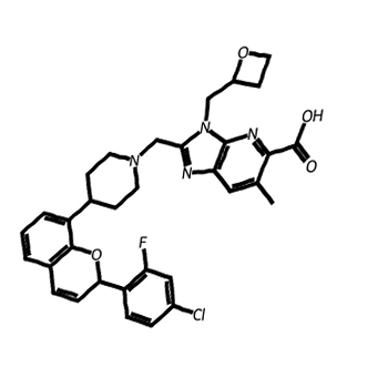 Cc1cc2nc(CN3CCC(c4cccc5c4OC(c4ccc(Cl)cc4F)C=C5)CC3)n(CC3CCO3)c2nc1C(=O)O